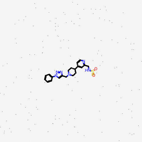 O=[SH](=O)NCc1cc(C2CCN(Cc3cn(-c4ccccc4)nn3)CC2)ccn1